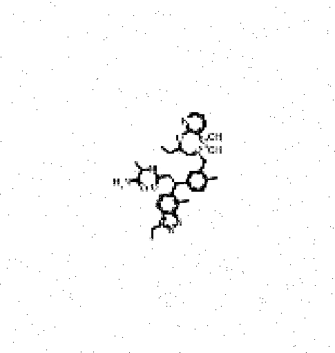 CCC1CN(Cc2cc([C@H](CC(=O)NC(C)C(N)=O)c3ccc4c(nnn4CC)c3C)ccc2C)S(O)(O)c2cccnc2O1